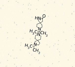 CC(C)N1CCC2(CCN(C(C)(C)N3CCC4(CC3)CNC(=O)C4)CC2)C1